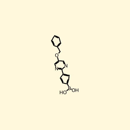 OB(O)c1ccc(-c2ncc(OCc3ccccc3)cn2)cc1